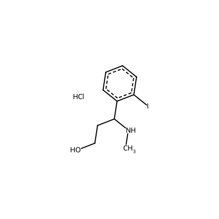 CNC(CCO)c1ccccc1I.Cl